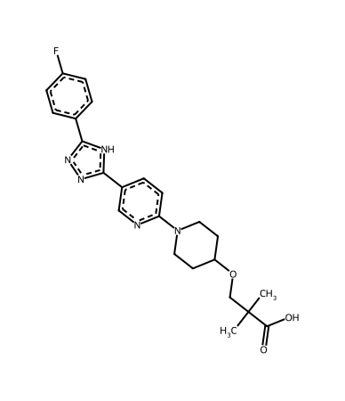 CC(C)(COC1CCN(c2ccc(-c3nnc(-c4ccc(F)cc4)[nH]3)cn2)CC1)C(=O)O